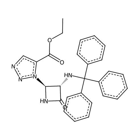 CCOC(=O)c1cnnn1[C@@H]1NC(=O)[C@H]1NC(c1ccccc1)(c1ccccc1)c1ccccc1